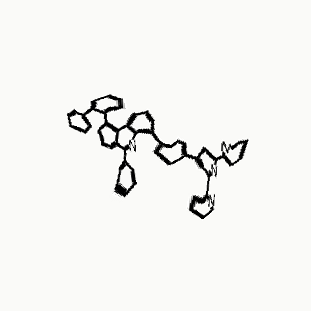 c1ccc(-c2ccccc2-c2cccc3c(-c4ccccc4)nc4c(-c5ccc(-c6cc(-c7ccccn7)nc(-c7ccccn7)c6)cc5)cccc4c23)cc1